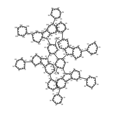 [C-]#[N+]c1cc(-c2cc(C#N)c(-n3c4ccc(-c5ccccc5)cc4c4cc(-c5ccccc5)ccc43)cc2-n2c3ccc(-c4ccccc4)cc3c3cc(-c4ccccc4)ccc32)c(-n2c3ccc(-c4ccccc4)cc3c3cc(-c4ccccc4)ccc32)cc1-n1c2ccc(-c3ccccc3)cc2c2cc(-c3ccccc3)ccc21